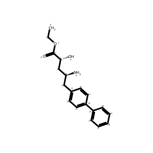 CCOC(=O)[C@H](O)C[C@@H](N)Cc1ccc(-c2ccccc2)cc1